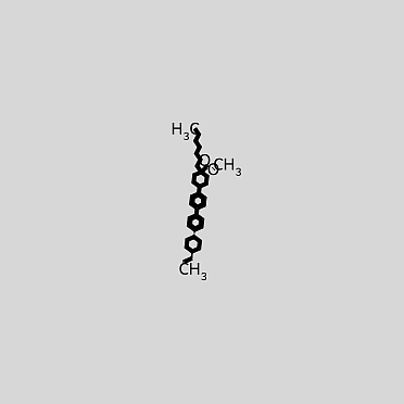 CCCCCCCC1(C(=O)OC)CCC(c2ccc(-c3ccc([C@H]4CC[C@H](CCC)CC4)cc3)cc2)CC1